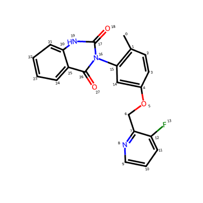 Cc1ccc(OCc2ncccc2F)cc1-n1c(=O)[nH]c2ccccc2c1=O